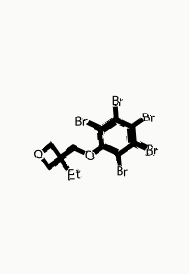 CCC1(COc2c(Br)c(Br)c(Br)c(Br)c2Br)COC1